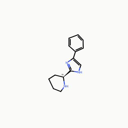 c1ccc(-c2c[nH]c([C@@H]3CCCCN3)n2)cc1